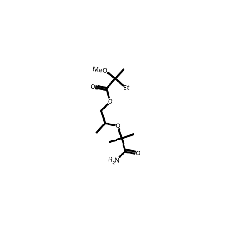 CCC(C)(OC)C(=O)OCC(C)OC(C)(C)C(N)=O